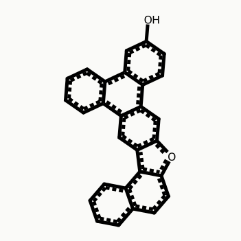 Oc1ccc2c(c1)c1ccccc1c1cc3c(cc21)oc1ccc2ccccc2c13